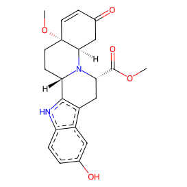 COC(=O)[C@@H]1Cc2c([nH]c3ccc(O)cc23)[C@@H]2CC[C@@]3(OC)C=CC(=O)C[C@H]3N12